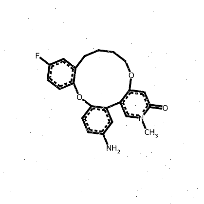 Cn1cc2c(cc1=O)OCCCCc1cc(F)ccc1Oc1ccc(N)cc1-2